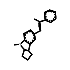 C/C(=C\c1ccc2c(c1)C1CCCC1N2C)c1ccccc1